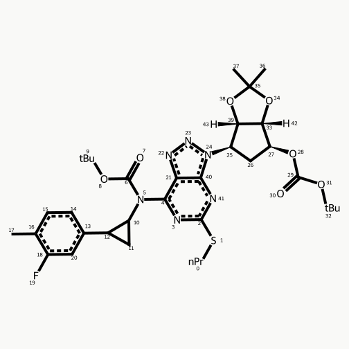 CCCSc1nc(N(C(=O)OC(C)(C)C)C2CC2c2ccc(C)c(F)c2)c2nnn([C@@H]3C[C@H](OC(=O)OC(C)(C)C)[C@H]4OC(C)(C)O[C@H]43)c2n1